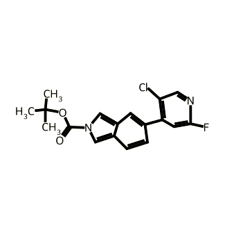 CC(C)(C)OC(=O)n1cc2ccc(-c3cc(F)ncc3Cl)cc2c1